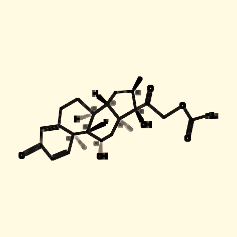 CCCCC(=O)OCC(=O)[C@@]1(O)[C@H](C)C[C@H]2[C@@H]3CCC4=CC(=O)C=C[C@]4(C)[C@@]3(F)[C@@H](O)C[C@@]21C